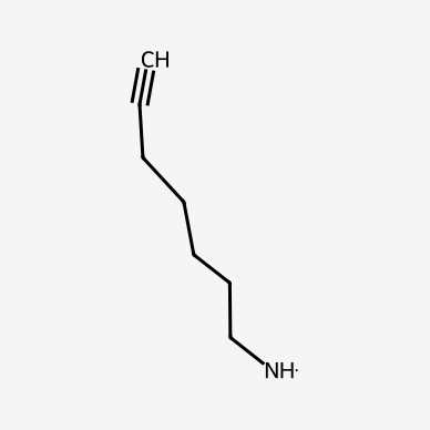 C#CCCCCC[NH]